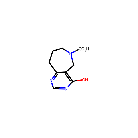 O=C(O)N1CCCc2ncnc(O)c2C1